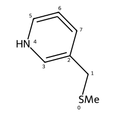 CSCC1=CNC=C=C1